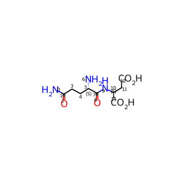 NC(=O)CC[C@H](N)C(=O)N[C@@H](CC(=O)O)C(=O)O